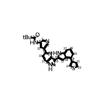 CC(C)(C)C(=O)Nc1cncc(-c2ccc3[nH]nc(-c4cc5c(-c6ccsc6)cccc5[nH]4)c3n2)c1